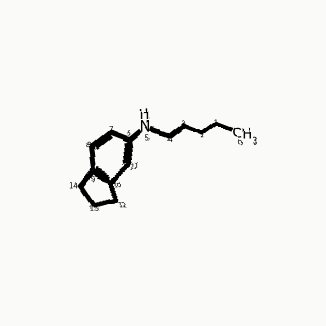 CCCCCNc1ccc2c(c1)CCC2